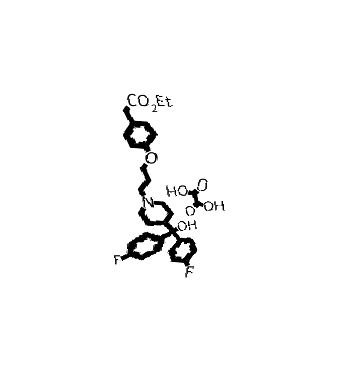 CCOC(=O)Cc1ccc(OCCCN2CCC(C(O)(c3ccc(F)cc3)c3ccc(F)cc3)CC2)cc1.O=C(O)C(=O)O